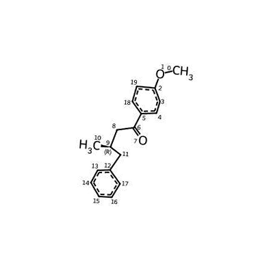 COc1ccc(C(=O)C[C@H](C)Cc2ccccc2)cc1